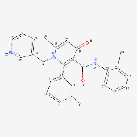 Cc1cccc(-c2c(C(=O)Nc3ccccc3C)c(=O)cc(C)n2Cc2cccnc2)c1